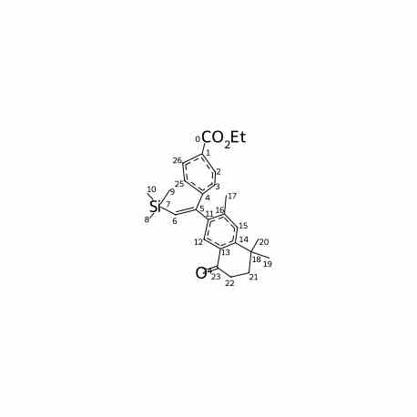 CCOC(=O)c1ccc(/C(=C\[Si](C)(C)C)c2cc3c(cc2C)C(C)(C)CCC3=O)cc1